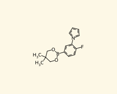 CC1(C)COB(c2ccc(F)c(-n3cccc3)c2)OC1